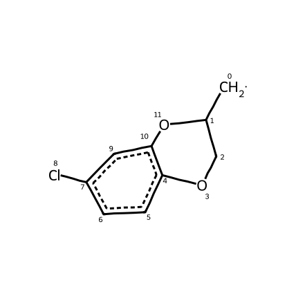 [CH2]C1COc2ccc(Cl)cc2O1